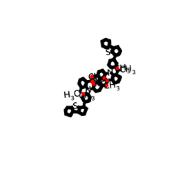 CC(C)c1cccc(C(C)C)c1N(c1ccc(-c2cccc3c2sc2ccccc23)cc1)c1ccc2ccc3c(N(c4ccc(-c5cccc6c5sc5ccccc56)cc4)c4c(C(C)C)cccc4C(C)C)ccc4ccc1c2c43